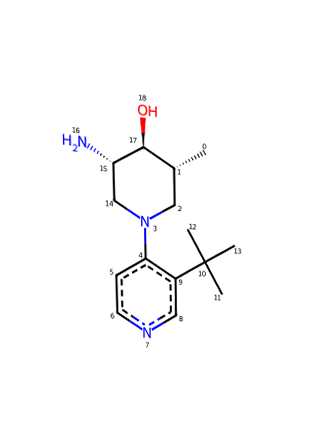 C[C@@H]1CN(c2ccncc2C(C)(C)C)C[C@H](N)[C@H]1O